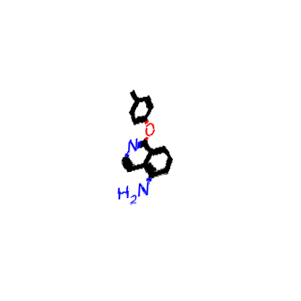 Cc1ccc(Oc2nccc3c(N)cccc23)cc1